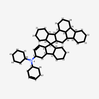 C1=CCC(N(C2C=CC3C(C2)C2CCCCC2C32C3CCCCC3C3C4CCCC5C6CCCCC6C(CC32)C54)C2CCCCC2)CC1